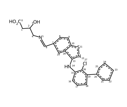 O=C(O)CC(O)CN=Cc1ccc2snc(Nc3cccc(-c4ccccc4)c3Cl)c2c1